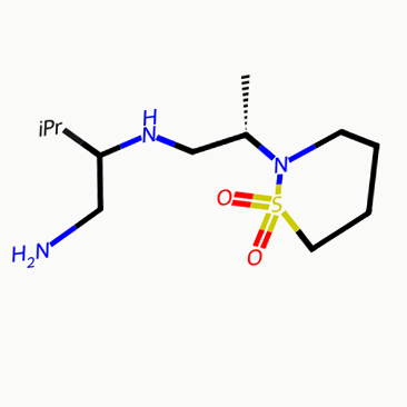 CC(C)C(CN)NC[C@H](C)N1CCCCS1(=O)=O